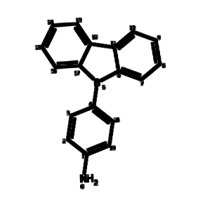 Nc1ccc(B2c3ccccc3-c3ccccc32)cc1